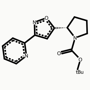 CC(C)(C)OC(=O)N1CCC[C@H]1c1cc(-c2ccccn2)no1